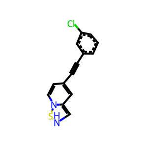 Clc1cccc(C#CC2=CC3=CNSN3C=C2)c1